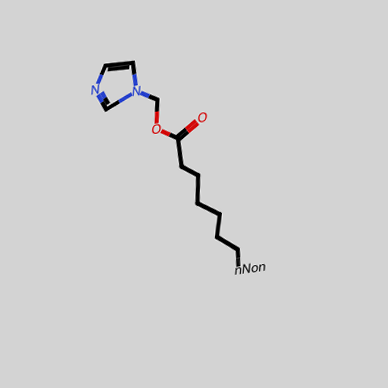 CCCCCCCCCCCCCCCC(=O)OCn1ccnc1